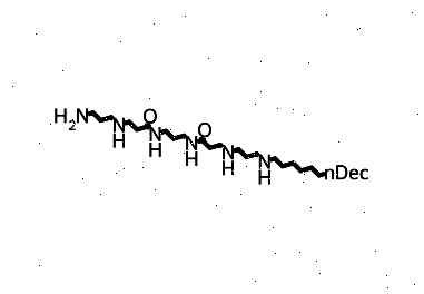 CCCCCCCCCCCCCCCCNCCCNCCC(=O)NCCCNC(=O)CCNCCCN